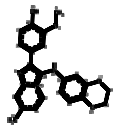 COc1cc(-c2nc3cc(C)ccn3c2Nc2ccc3c(c2)OCCO3)ccc1O